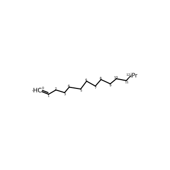 [CH]=CCCCCCCCCCCC(C)C